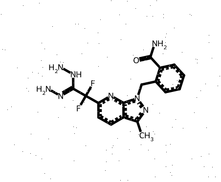 Cc1nn(Cc2ccccc2C(N)=O)c2nc(C(F)(F)/C(=N/N)NN)ccc12